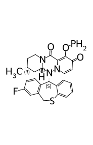 C[C@@H]1CCN2C(=O)c3c(OP)c(=O)ccn3N([C@H]3c4ccc(F)cc4CSc4ccccc43)[C@@H]2C1